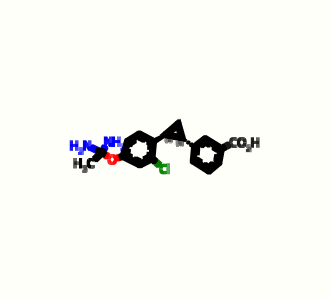 CC(N)(N)Oc1ccc([C@H]2C[C@@H]2c2cccc(C(=O)O)c2)c(Cl)c1